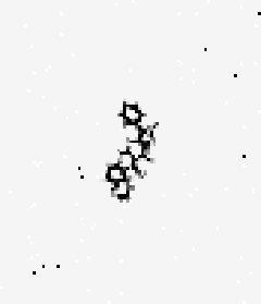 CC1Cc2c(nn(C)c2-c2ccccc2)C(C)N1C(=O)c1cccc2nccnc12